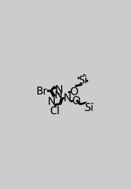 C[Si](C)(C)CCOCN(COCC[Si](C)(C)C)c1cc(Cl)nc2c(Br)cnn12